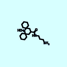 O=C(NCCC[SiH3])C1CC2(CCCCC2)N(O)C2(CCCCC2)C1